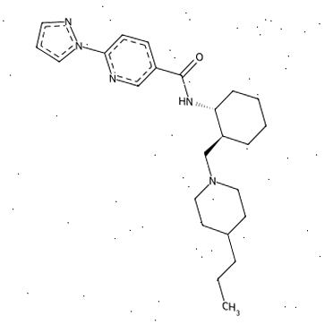 CCCC1CCN(C[C@@H]2CCCC[C@H]2NC(=O)c2ccc(-n3cccn3)nc2)CC1